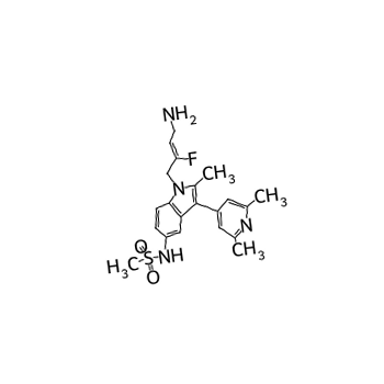 Cc1cc(-c2c(C)n(CC(F)=CCN)c3ccc(NS(C)(=O)=O)cc23)cc(C)n1